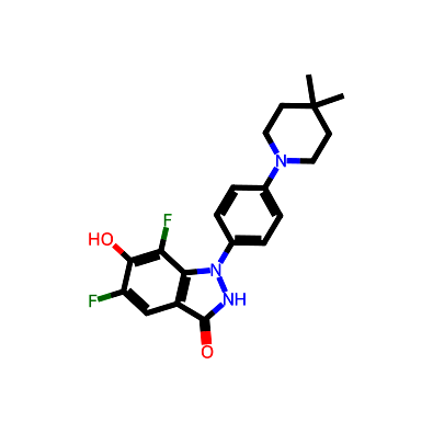 CC1(C)CCN(c2ccc(-n3[nH]c(=O)c4cc(F)c(O)c(F)c43)cc2)CC1